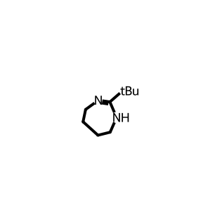 CC(C)(C)C1=NCCCCN1